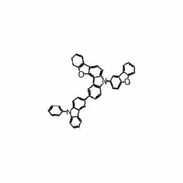 C1=Cc2c(oc3c2ccc2c3c3cc(-c4ccc5c(c4)c4ccccc4n5-c4ccccc4)ccc3n2-c2ccc3oc4ccccc4c3c2)CC1